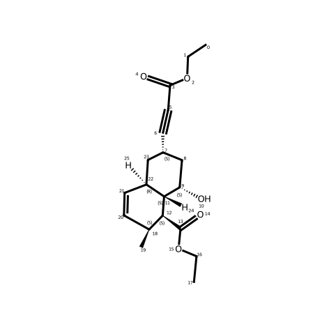 CCOC(=O)C#C[C@@H]1C[C@H](O)[C@@H]2[C@@H](C(=O)OCC)[C@@H](C)C=C[C@H]2C1